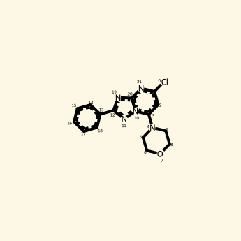 Clc1cc(N2CCOCC2)n2nc(-c3ccccc3)nc2n1